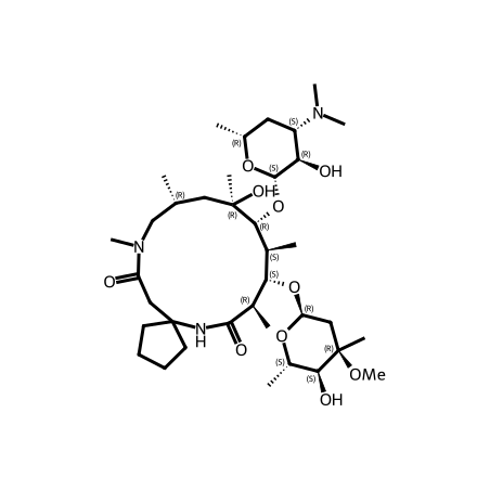 CO[C@]1(C)C[C@H](O[C@H]2[C@H](C)[C@@H](O[C@@H]3O[C@H](C)C[C@H](N(C)C)[C@H]3O)[C@](C)(O)C[C@@H](C)CN(C)C(=O)CC3(CCCC3)NC(=O)[C@@H]2C)O[C@@H](C)[C@@H]1O